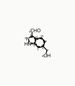 O=Cc1n[nH]c2cc(CO)ccc12